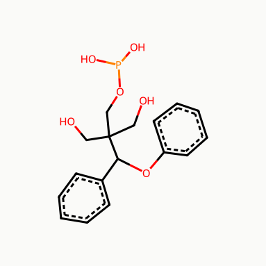 OCC(CO)(COP(O)O)C(Oc1ccccc1)c1ccccc1